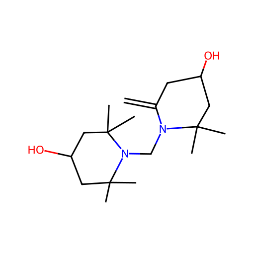 C=C1CC(O)CC(C)(C)N1CN1C(C)(C)CC(O)CC1(C)C